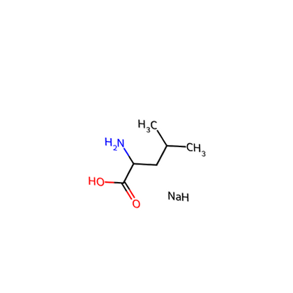 CC(C)CC(N)C(=O)O.[NaH]